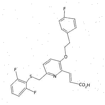 O=C(O)C=Cc1nc(CSc2c(F)cccc2F)ccc1OCCc1ccc(F)cc1